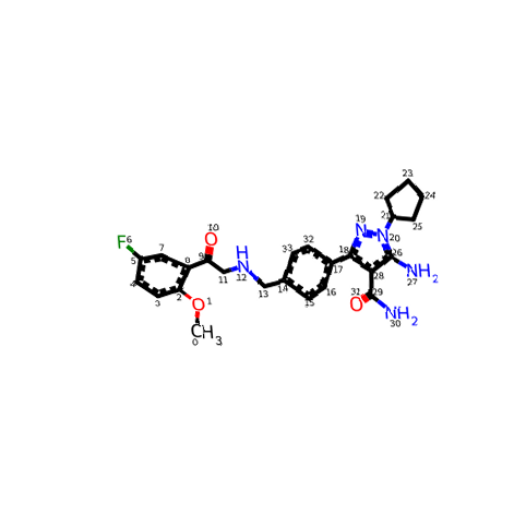 COc1ccc(F)cc1C(=O)CNCc1ccc(-c2nn(C3CCCC3)c(N)c2C(N)=O)cc1